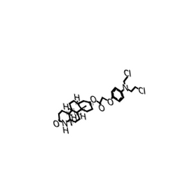 C[C@]12CC[C@H](OC(=O)COc3ccc(N(CCCl)CCCl)cc3)C[C@@H]1CC[C@@H]1[C@@H]2CC[C@]2(C)NC(=O)CC[C@@H]12